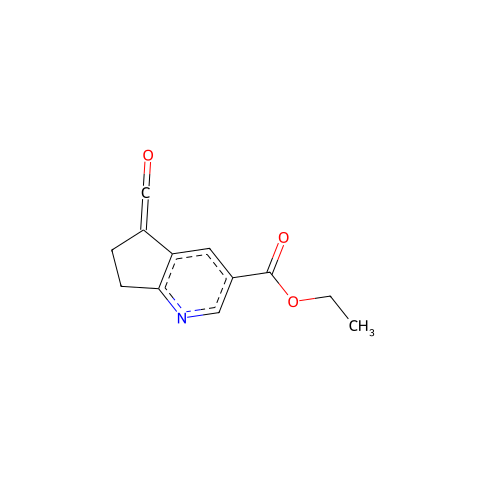 CCOC(=O)c1cnc2c(c1)C(=C=O)CC2